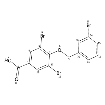 O=C(O)c1cc(Br)c(OCc2cccc(Br)c2)c(Br)c1